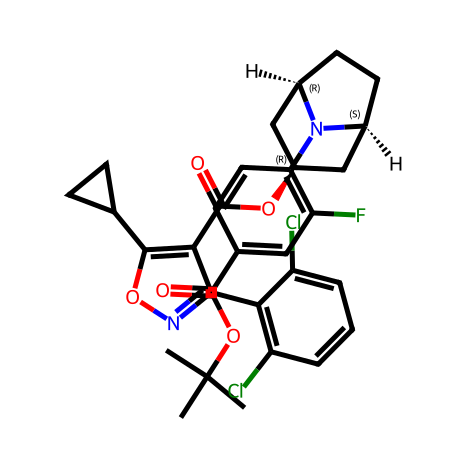 CC(C)(C)OC(=O)c1ccc(N2[C@@H]3CC[C@H]2C[C@@H](OC(=O)c2c(-c4c(Cl)cccc4Cl)noc2C2CC2)C3)c(F)c1